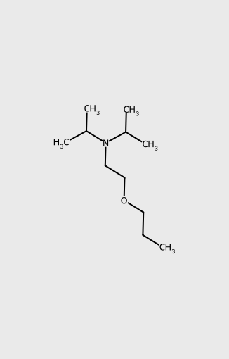 CCCOCCN(C(C)C)C(C)C